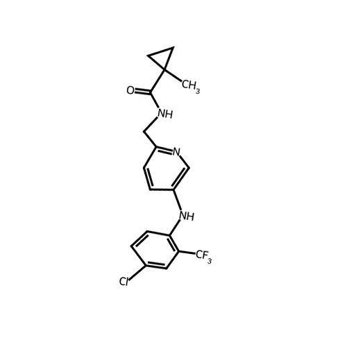 CC1(C(=O)NCc2ccc(Nc3ccc(Cl)cc3C(F)(F)F)cn2)CC1